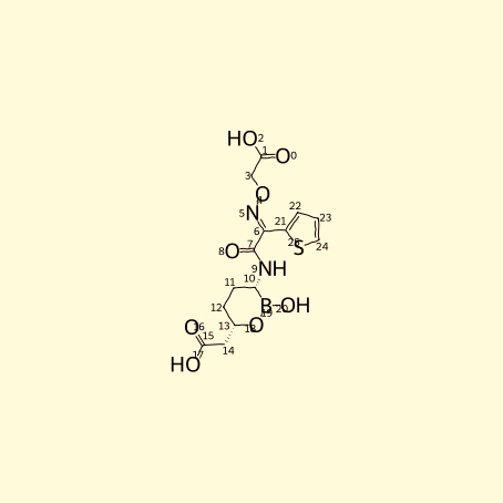 O=C(O)CO/N=C(/C(=O)N[C@H]1CC[C@@H](CC(=O)O)OB1O)c1cccs1